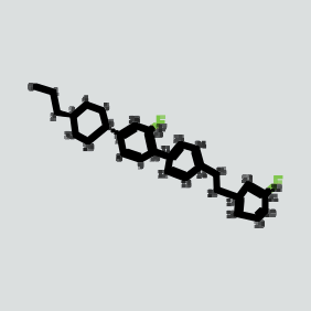 CCC[C@H]1CC[C@H](c2ccc(-c3ccc(CCc4cccc(F)c4)cc3)c(F)c2)CC1